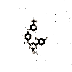 Nc1nc(Nc2ccc(Oc3ccnc(C(F)(F)F)c3)cc2)cc(-c2ccc(F)cc2F)n1